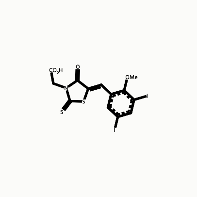 COc1c(I)cc(I)cc1/C=C1\SC(=S)N(CC(=O)O)C1=O